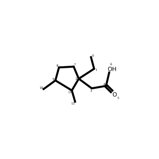 CCC1(CC(=O)O)CCC(C)C1C